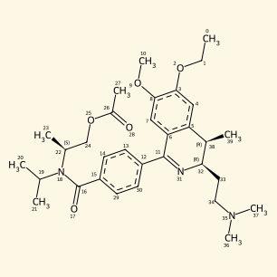 CCOc1cc2c(cc1OC)C(c1ccc(C(=O)N(C(C)C)[C@@H](C)COC(C)=O)cc1)=N[C@H](CCN(C)C)[C@@H]2C